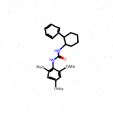 COc1cc(OC)c(NC(=O)NC2CCCCC2c2ccccc2)c(OC)c1